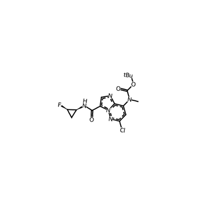 CN(C(=O)OC(C)(C)C)c1cc(Cl)nn2c(C(=O)N[C@H]3C[C@H]3F)cnc12